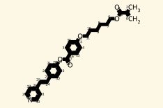 C=C(C)C(=O)OCCCCCCOc1ccc(C(=O)Oc2ccc(/C=C/c3ccncc3)cc2)cc1